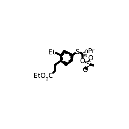 CCC[C@H](OS(C)(=O)=O)Sc1ccc(CCC(=O)OCC)c(CC)c1